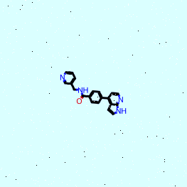 O=C(NCc1cccnc1)c1ccc(-c2ccnc3[nH]ccc23)cc1